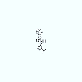 C=C(C)c1cccc(C(C)(C)NC(=O)OCC(C)(C)C(F)(F)C(C)C)c1